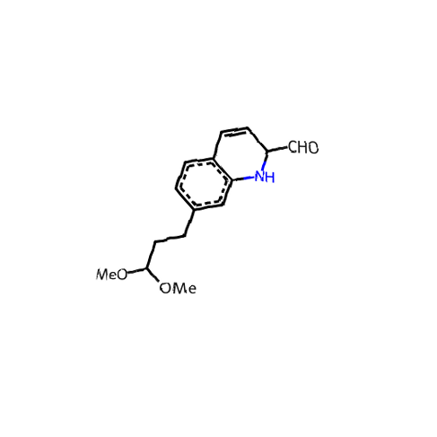 COC(CCc1ccc2c(c1)NC(C=O)C=C2)OC